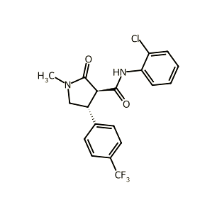 CN1C[C@@H](c2ccc(C(F)(F)F)cc2)[C@H](C(=O)Nc2ccccc2Cl)C1=O